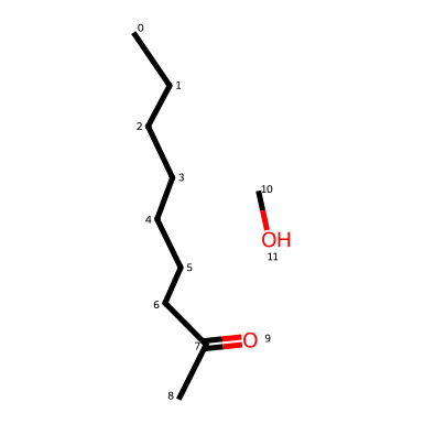 CCCCCCCC(C)=O.CO